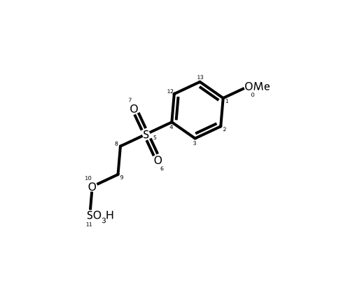 COc1ccc(S(=O)(=O)CCOS(=O)(=O)O)cc1